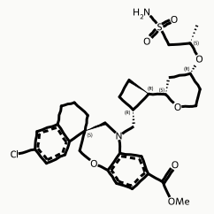 COC(=O)c1ccc2c(c1)N(C[C@@H]1CC[C@H]1[C@@H]1C[C@H](O[C@@H](C)CS(N)(=O)=O)CCO1)C[C@@]1(CCCc3cc(Cl)ccc31)CO2